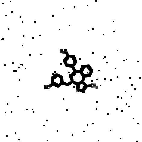 Cc1ccc(C2=NN(Cc3cccc(C#N)c3)c3nnc(C)n3-c3ccccc32)cc1